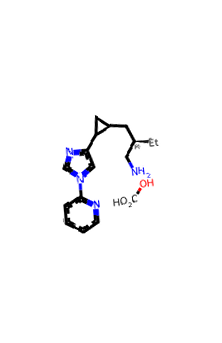 CC[C@@H](CN)CC1CC1c1cn(-c2ccccn2)cn1.O=C(O)O